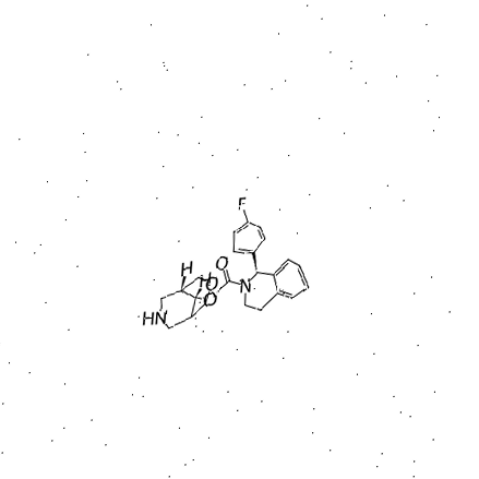 O=C(O[C@@H]1C2CNC[C@@H]1COC2)N1CCc2ccccc2[C@@H]1c1ccc(F)cc1